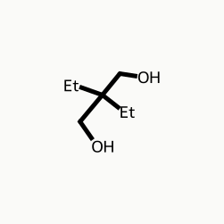 [CH2]CC(CC)(CO)CO